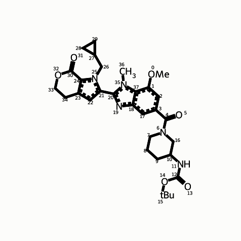 COc1cc(C(=O)N2CCCC(NC(=O)OC(C)(C)C)C2)cc2nc(-c3cc4c(n3CC3CC3)C(=O)OCC4)n(C)c12